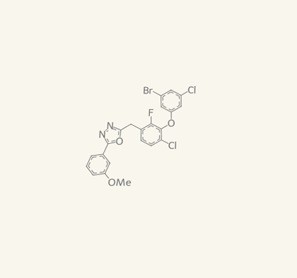 COc1cccc(-c2nnc(Cc3ccc(Cl)c(Oc4cc(Cl)cc(Br)c4)c3F)o2)c1